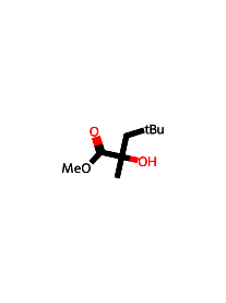 COC(=O)C(C)(O)CC(C)(C)C